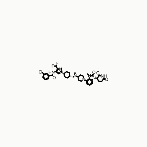 CN(C[C@H]1CC[C@H](n2cc(NC(=O)c3cccc(Cl)c3)c(C(F)F)n2)CC1)C1CCN(c2cccc3c2n(C)c(=O)n3C2CCC(=O)NC2=O)CC1